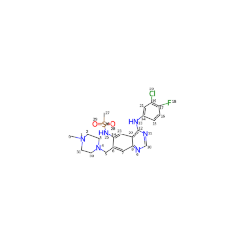 CN1CCN(Cc2cc3ncnc(Nc4ccc(F)c(Cl)c4)c3cc2NS(C)(=O)=O)CC1